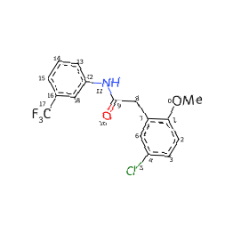 COc1ccc(Cl)cc1CC(=O)Nc1cccc(C(F)(F)F)c1